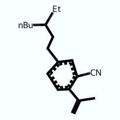 C=C(C)c1ccc(CCC(CC)CCCC)cc1C#N